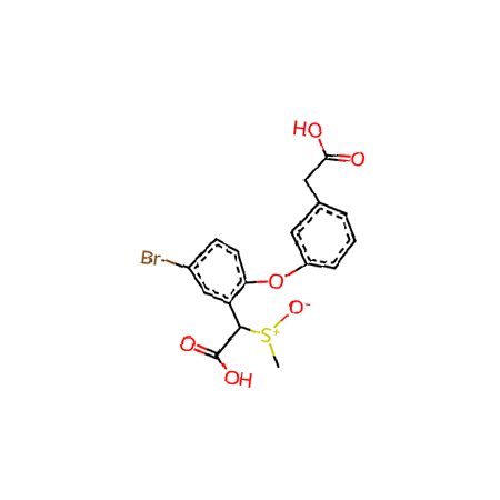 C[S+]([O-])C(C(=O)O)c1cc(Br)ccc1Oc1cccc(CC(=O)O)c1